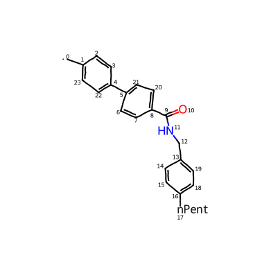 [CH2]c1ccc(-c2ccc(C(=O)NCc3ccc(CCCCC)cc3)cc2)cc1